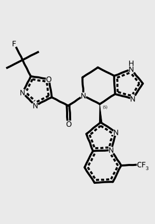 CC(C)(F)c1nnc(C(=O)N2CCc3[nH]cnc3[C@H]2c2cc3cccc(C(F)(F)F)n3n2)o1